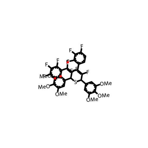 COc1cc(C(SC(/C(F)=C(/F)c2ccc(F)c(F)c2F)c2cc(OC)c(OC)c(OC)c2)C(F)=C(F)c2ccc(F)c(F)c2F)cc(OC)c1OC